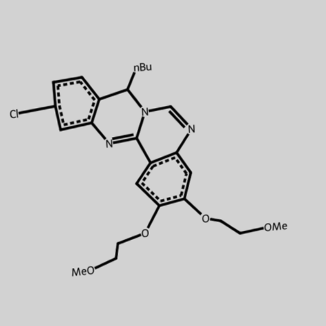 CCCCC1c2ccc(Cl)cc2N=C2c3cc(OCCOC)c(OCCOC)cc3N=CN21